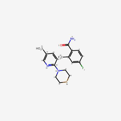 NC(=O)c1ccc(F)cc1C(F)(F)F.O=S(=O)(O)c1ccc(N2CCSCC2)nc1